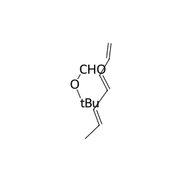 C=CC=CC=CC.CC(C)(C)OC=O